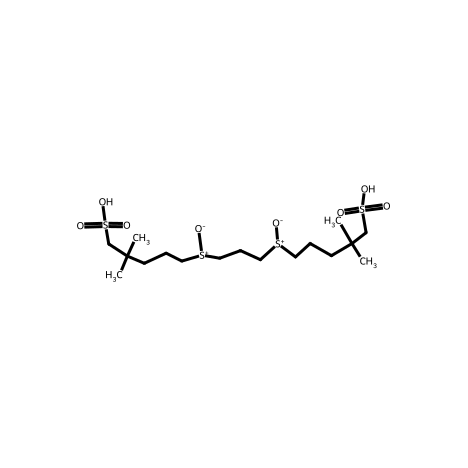 CC(C)(CCC[S+]([O-])CCC[S+]([O-])CCCC(C)(C)CS(=O)(=O)O)CS(=O)(=O)O